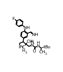 CC(C)CC(c1ccc(Nc2ccc(F)cc2)c(C=N)c1)C(C)(C)CNC(=O)N[C@H](C)C(C)(C)C